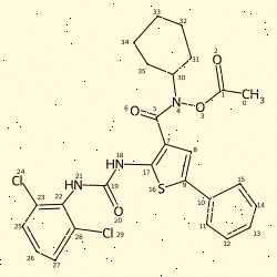 CC(=O)ON(C(=O)c1cc(-c2ccccc2)sc1NC(=O)Nc1c(Cl)cccc1Cl)C1CCCCC1